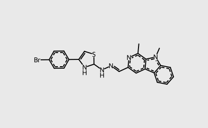 Cc1nc(C=NNC2NC(c3ccc(Br)cc3)=CS2)cc2c3ccccc3n(C)c12